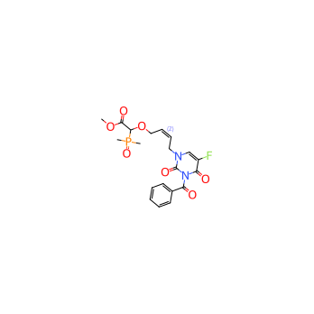 COC(=O)C(OC/C=C\Cn1cc(F)c(=O)n(C(=O)c2ccccc2)c1=O)P(C)(C)=O